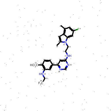 Cc1cc(F)cc2c1cc(C)n2CCNc1cc(-c2ccc(C(=O)O)c(NCC(F)(F)F)c2)ncn1